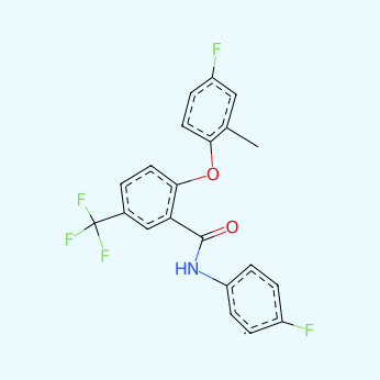 Cc1cc(F)ccc1Oc1ccc(C(F)(F)F)cc1C(=O)Nc1c[c]c(F)cc1